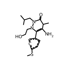 CSc1ccc(C2=C(N)C(C)C(=O)N(CC(C)C)N2CCO)cc1